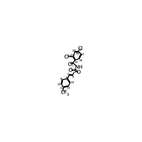 O=C(NS(=O)(=O)C=Cc1ccc(C(F)(F)F)cc1)c1ccc(Cl)cc1Cl